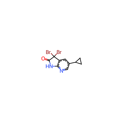 O=C1Nc2ncc(C3CC3)cc2C1(Br)Br